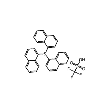 O=S(=O)(O)C(F)(F)F.c1ccc2c([S+](c3cccc4ccccc34)c3cccc4ccccc34)cccc2c1